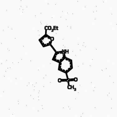 CCOC(=O)c1ccc(-c2cc3cc(S(C)(=O)=O)ccc3[nH]2)o1